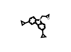 c1cc2c(cc1C1CC1)c1cc(C3CC3)ccc1n2CC1CO1